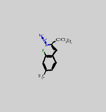 CCOC(=O)/C(=C/c1ccc(C(F)(F)F)cc1F)N=[N+]=[N-]